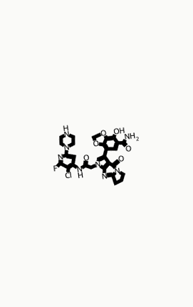 NC(=O)c1cc(-c2cn(CC(=O)Nc3cc(N4CCNCC4)nc(F)c3Cl)c3nc4n(c(=O)c23)CCC4)c2c(c1O)OCO2